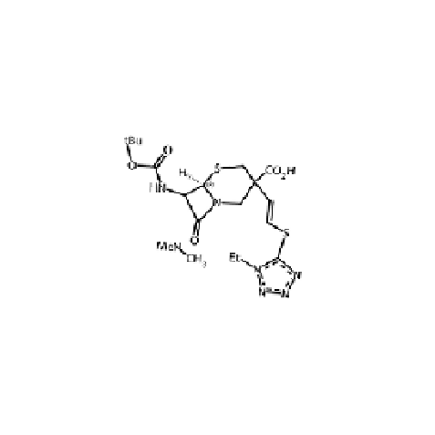 CCn1nnnc1SC=CC1(C(=O)O)CS[C@@H]2C(NC(=O)OC(C)(C)C)C(=O)N2C1.CNC